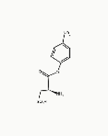 N[C@@H](CS(=O)(=O)O)C(=O)Oc1ccc([N+](=O)[O-])cc1